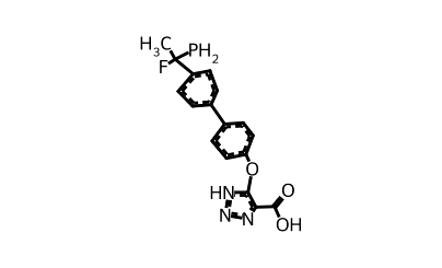 CC(F)(P)c1ccc(-c2ccc(Oc3[nH]nnc3C(=O)O)cc2)cc1